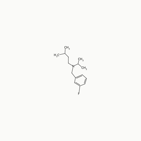 CC(C)CCN(Cc1cccc(F)c1)C(C)C